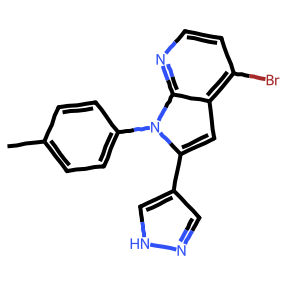 Cc1ccc(-n2c(-c3cn[nH]c3)cc3c(Br)ccnc32)cc1